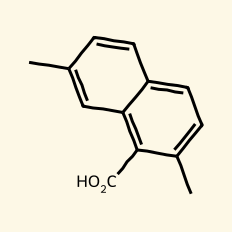 Cc1ccc2ccc(C)c(C(=O)O)c2c1